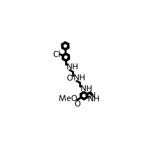 COC(=O)c1cc(NCCCNC(=O)CCNCc2ccc(-c3ccccc3)c(Cl)c2)c2cn[nH]c2c1